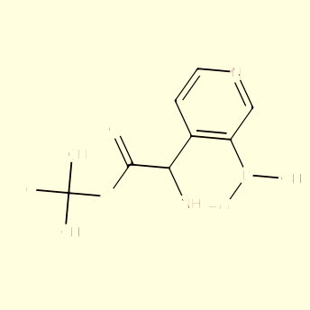 CC(C)(C)OC(=O)C(N)c1ccncc1B(O)O